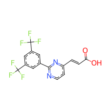 O=C(O)/C=C/c1ccnc(-c2cc(C(F)(F)F)cc(C(F)(F)F)c2)n1